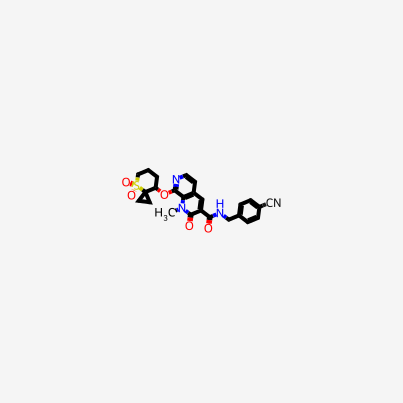 Cn1c(=O)c(C(=O)NCc2ccc(C#N)cc2)cc2ccnc(OC3CCCS(=O)(=O)C34CC4)c21